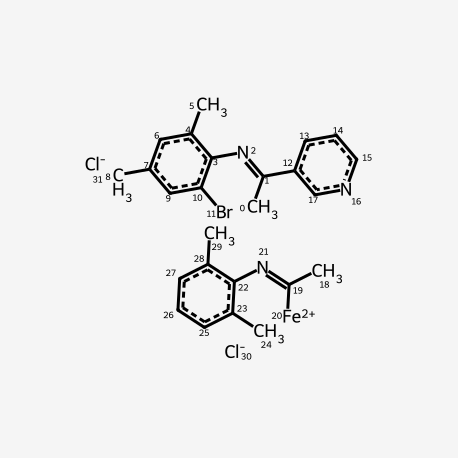 CC(=Nc1c(C)cc(C)cc1Br)c1cccnc1.C[C]([Fe+2])=Nc1c(C)cccc1C.[Cl-].[Cl-]